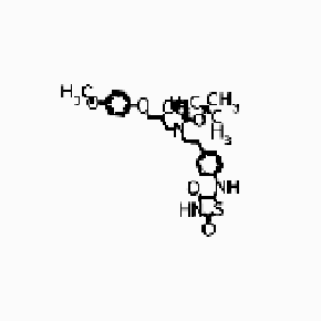 COc1ccc(OC[C@@H](O)CN(CCc2ccc(NC3SC(=O)NC3=O)cc2)C(=O)OC(C)(C)C)cc1